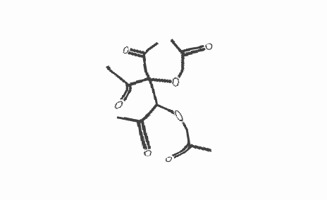 CC(=O)OC(C(C)=O)C(OC(C)=O)(C(C)=O)C(C)=O